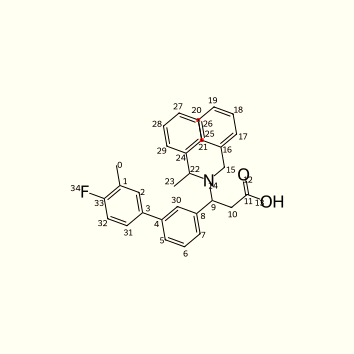 Cc1cc(-c2cccc(C(CC(=O)O)N(Cc3ccccc3)C(C)c3ccccc3)c2)ccc1F